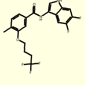 Cc1ccc(C(=O)Nc2c[nH]c3cc(F)c(F)cc23)cc1OCCCC(F)(F)F